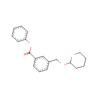 O=C(Oc1ccccc1)c1cccc(COC2CCCCO2)c1